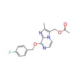 CC(=O)OCc1c(C)nc2c(OCc3ccc(F)cc3)nccn12